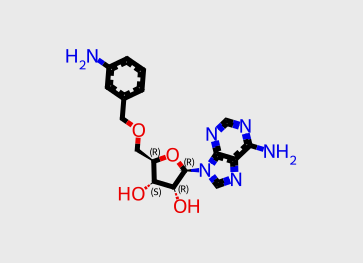 Nc1cccc(COC[C@H]2O[C@@H](n3cnc4c(N)ncnc43)[C@H](O)[C@@H]2O)c1